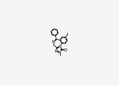 Cn1nc2n(c1=O)-c1ccc(I)cc1C(c1ccccc1)=NC2